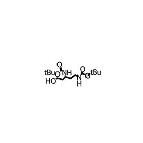 CC(C)(C)OC(=O)NCCC(CCO)NC(=O)OC(C)(C)C